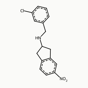 O=[N+]([O-])c1ccc2c(c1)CC(NCc1cccc(Cl)c1)C2